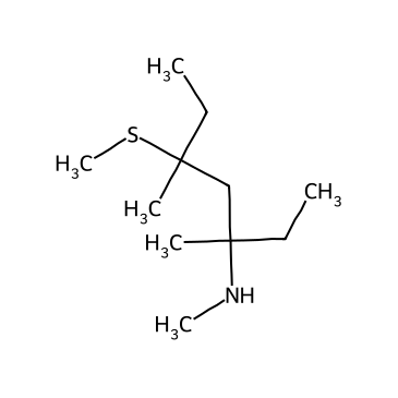 CCC(C)(CC(C)(CC)SC)NC